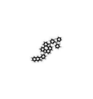 c1ccc(N(c2ccccc2)c2cccc(-n3c4cccc5c4c4c6c(ccc43)ccc3c6c4c-5cccc4n3-c3ccc4sc5cc6ccccc6cc5c4c3)c2)cc1